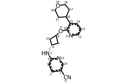 N#Cc1ccc(N[C@H]2C[C@H](Oc3ncccc3C3CCOCC3)C2)nc1